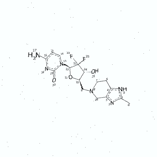 Cc1nc2c([nH]1)CCN(C[C@H]1O[C@@H](n3ccc(N)nc3=O)C(F)(F)[C@@H]1O)C2